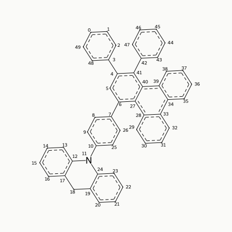 c1ccc(-c2cc(-c3ccc(N4c5ccccc5Cc5ccccc54)cc3)c3c4ccccc4c4ccccc4c3c2-c2ccccc2)cc1